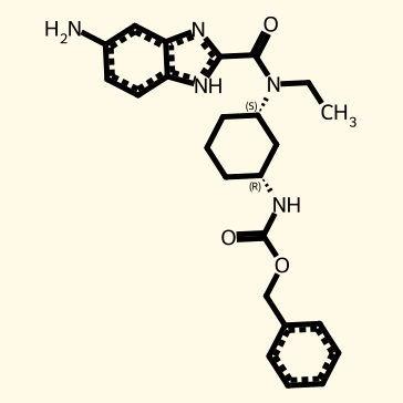 CCN(C(=O)c1nc2cc(N)ccc2[nH]1)[C@H]1CCC[C@@H](NC(=O)OCc2ccccc2)C1